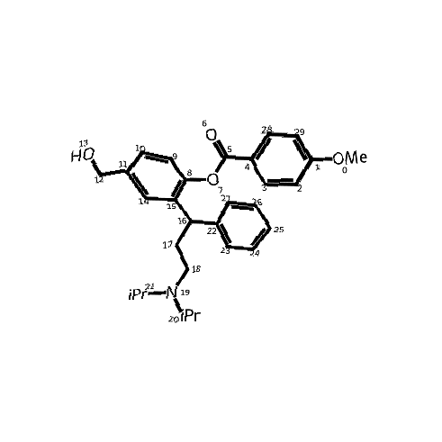 COc1ccc(C(=O)Oc2ccc(CO)cc2C(CCN(C(C)C)C(C)C)c2ccccc2)cc1